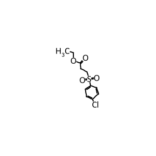 CCOC(=O)CCS(=O)(=O)c1ccc(Cl)cc1